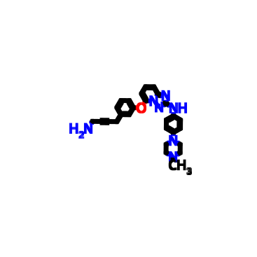 CN1CCN(c2ccc(Nc3nc4cccc(Oc5cccc(CC#CCN)c5)n4n3)cc2)CC1